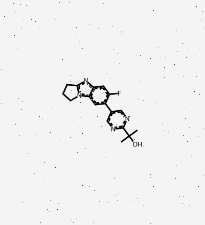 CC(C)(O)c1ncc(-c2cc3c(cc2F)nc2n3CCC2)cn1